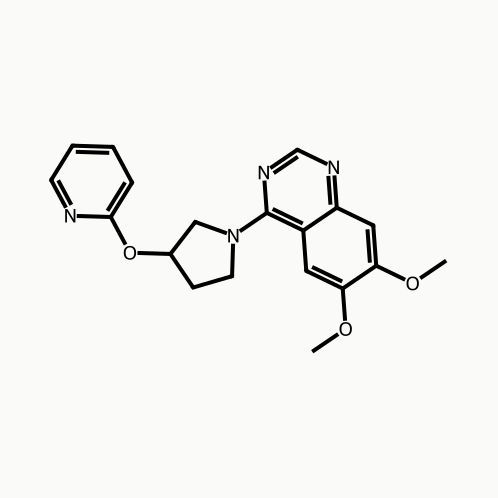 COc1cc2ncnc(N3CCC(Oc4ccccn4)C3)c2cc1OC